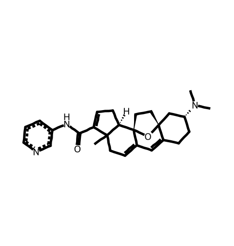 CN(C)[C@@H]1CCC2=CC3=CCC4(C)C(C(=O)Nc5cccnc5)=CC[C@H]4[C@@]34CC[C@]2(C1)O4